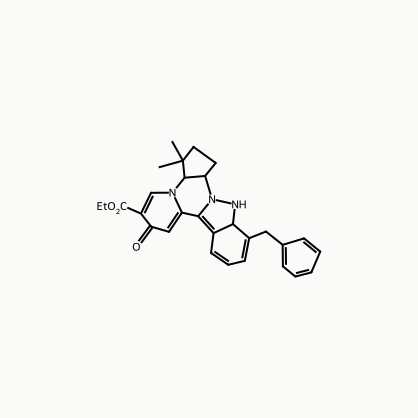 CCOC(=O)c1cn2c(cc1=O)C1=C3C=CC=C(Cc4ccccc4)C3NN1C1CCC(C)(C)C12